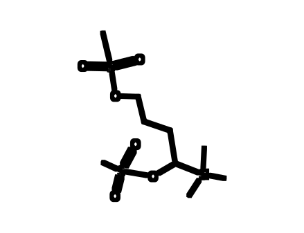 C[Si](C)(C)C(CCCOS(C)(=O)=O)OS(C)(=O)=O